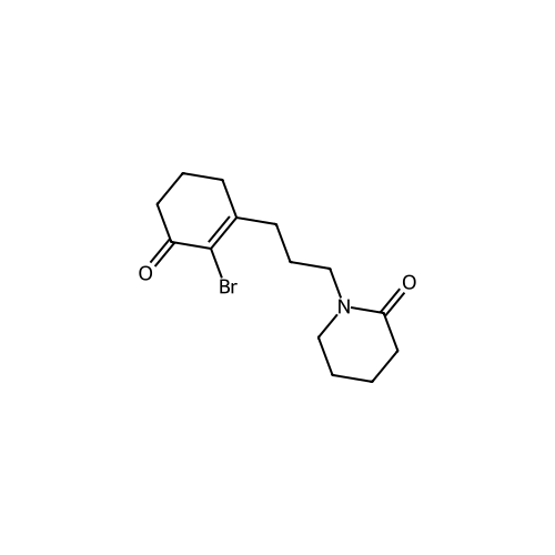 O=C1CCCC(CCCN2CCCCC2=O)=C1Br